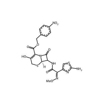 CO/N=C(\C(=O)NC1C(=O)N2C(C(=O)OCc3ccc([N+](=O)[O-])cc3)=C(O)CS[C@H]12)c1csc(N)n1